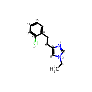 CCn1cnc(CCc2ccccc2Cl)c1